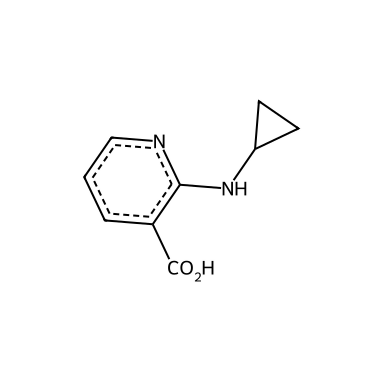 O=C(O)c1cccnc1NC1CC1